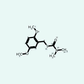 COc1ccc(OC)c(CSC(=O)N(C)C)c1